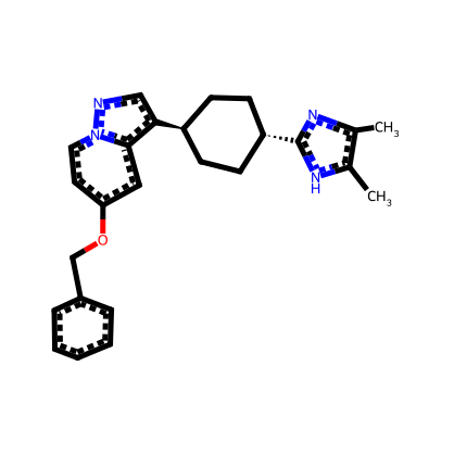 Cc1nc([C@H]2CC[C@H](c3cnn4ccc(OCc5ccccc5)cc34)CC2)[nH]c1C